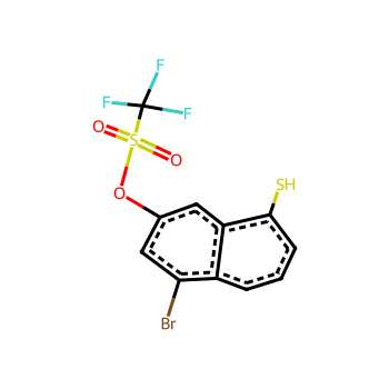 O=S(=O)(Oc1cc(Br)c2cccc(S)c2c1)C(F)(F)F